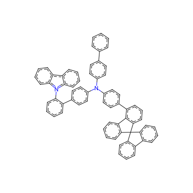 c1ccc(-c2ccc(N(c3ccc(-c4ccccc4-n4c5ccccc5c5ccccc54)cc3)c3ccc(-c4cccc5c4-c4ccccc4C54c5ccccc5-c5ccccc54)cc3)cc2)cc1